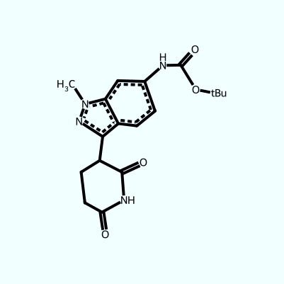 Cn1nc(C2CCC(=O)NC2=O)c2ccc(NC(=O)OC(C)(C)C)cc21